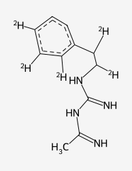 [2H]c1ccc(C([2H])C([2H])NC(=N)NC(C)=N)c([2H])c1[2H]